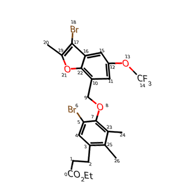 CCOC(=O)CCc1cc(Br)c(OCc2cc(OC(F)(F)F)cc3c(Br)c(C)oc23)c(C)c1C